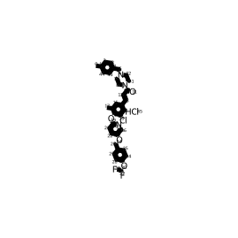 Cc1ccc(CN2CCN(C(=O)C=Cc3cc(C)c(Oc4ccc(OCc5ccc(OC(F)F)cc5)cn4)c(Cl)c3)CC2)cc1.Cl